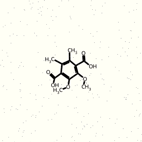 COc1c(OC)c(C(=O)O)c(C)c(C)c1C(=O)O